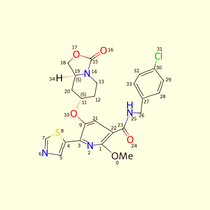 COc1nc(-c2cncs2)c(O[C@H]2CCN3C(=O)OC[C@@H]3C2)cc1C(=O)NCc1ccc(Cl)cc1